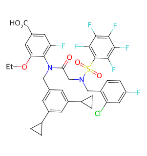 CCOc1cc(C(=O)O)cc(F)c1N(Cc1cc(C2CC2)cc(C2CC2)c1)C(=O)CN(Cc1ccc(F)cc1Cl)S(=O)(=O)c1c(F)c(F)c(F)c(F)c1F